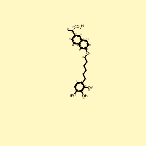 CC(C)c1ccc(CCCCCCOc2ccc3cc([C@H](C)C(=O)O)ccc3c2)c(O)c1O